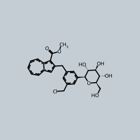 COC(=O)c1c(Cc2cc(CCl)cc([C@@H]3O[C@H](CO)[C@@H](O)[C@H](O)[C@H]3O)c2)cc2cccccc1-2